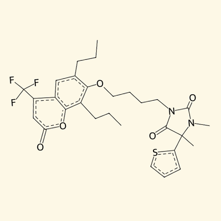 CCCc1cc2c(C(F)(F)F)cc(=O)oc2c(CCC)c1OCCCCN1C(=O)N(C)C(C)(c2cccs2)C1=O